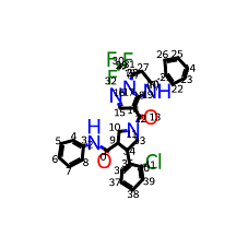 O=C(Nc1ccccc1)C1CN(C(=O)c2cnn3c2N[C@@H](c2ccccc2)C[C@H]3C(F)(F)F)CC1c1ccccc1Cl